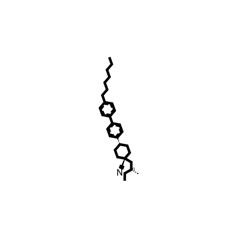 CCCCCCCc1ccc(-c2ccc([C@H]3CC[C@@](C#N)(C[C@H](C)CC)CC3)cc2)cc1